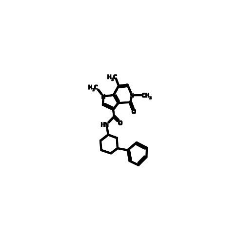 Cc1cn(C)c(=O)c2c(C(=O)NC3CCCC(c4ccccc4)C3)cn(C)c12